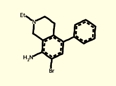 CCN1CCc2c(-c3ccccc3)cc(Br)c(N)c2C1